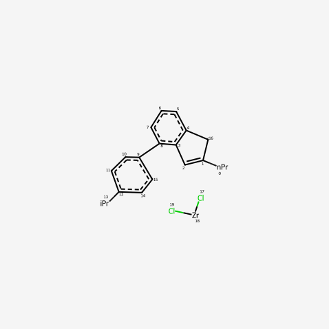 CCCC1=Cc2c(cccc2-c2ccc(C(C)C)cc2)[CH]1.[Cl][Zr][Cl]